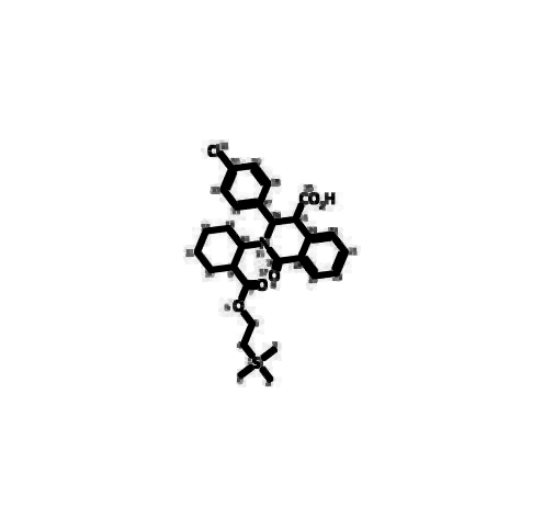 C[Si](C)(C)CCOC(=O)C1CCCCC1N1C(=O)c2ccccc2C(C(=O)O)C1c1ccc(Cl)cc1